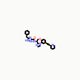 O=C(N[C@H]1COc2ccc(C#Cc3ccccn3)cc2-n2ccnc21)c1n[nH]c(Cc2ccccc2)n1